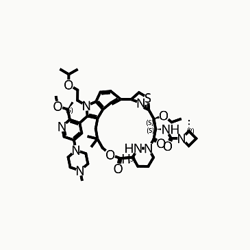 CCO[C@@H]1C2=NC(CS2)c2ccc3c(c2)c(c(-c2cc(N4CCN(C)CC4)cnc2[C@H](C)OC)n3CCOC(C)C)CC(C)(C)COC(=O)[C@@H]2CCCN(N2)C(=O)[C@H]1NC(=O)N1CC[C@H]1C